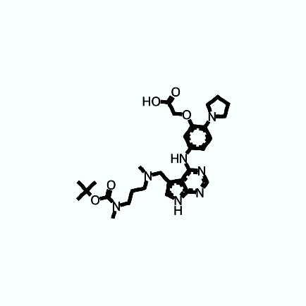 CN(CCCN(C)C(=O)OC(C)(C)C)Cc1c[nH]c2ncnc(Nc3ccc(N4CCCC4)c(OCC(=O)O)c3)c12